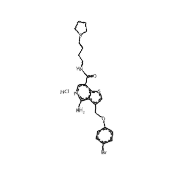 Cl.Nc1ncc(C(=O)NCCCCN2CCCC2)c2scc(COc3ccc(Br)cc3)c12